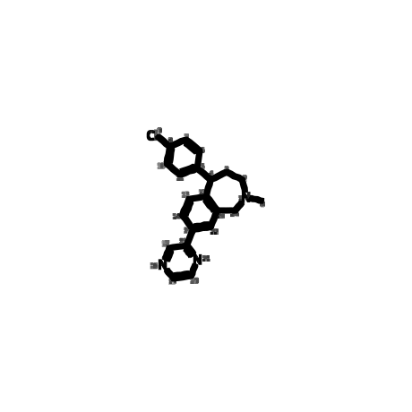 CN1CCC(c2ccc(Cl)cc2)c2ccc(-c3cnccn3)cc2C1